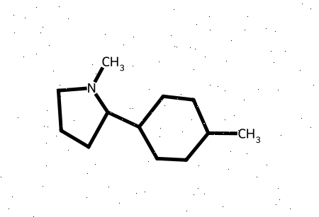 CC1CCC(C2CCCN2C)CC1